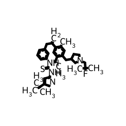 C=C(Cc1cccc(NC(=S)NC2=NCC(C(C)(C)C)=C2)c1)c1cc(CC)c(CC2CCN(CC(C)(C)F)C2)cc1C